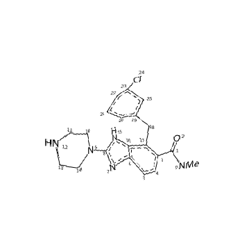 CNC(=O)c1ccc2nc(N3CCNCC3)[nH]c2c1Cc1cccc(Cl)c1